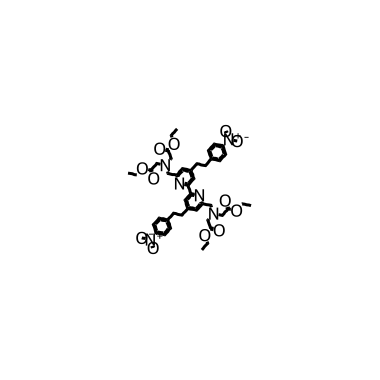 CCOC(=O)CN(CC(=O)OCC)Cc1cc(CCc2ccc([N+](=O)[O-])cc2)cc(-c2cc(CCc3ccc([N+](=O)[O-])cc3)cc(CN(CC(=O)OCC)CC(=O)OCC)n2)n1